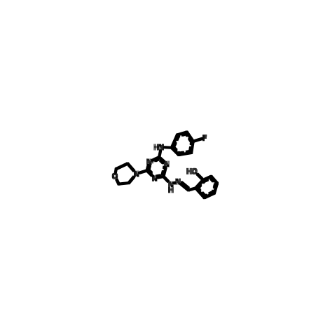 Oc1ccccc1C=NNc1nc(Nc2ccc(F)cc2)nc(N2CCOCC2)n1